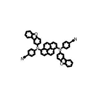 N#Cc1ccc(N(c2ccc3oc4ccccc4c3c2)c2ccc3ccc4c(N(c5ccc(C#N)cc5)c5ccc6oc7ccccc7c6c5)ccc5ccc2c3c54)cc1